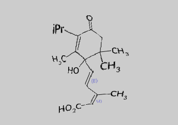 CC1=C(C(C)C)C(=O)CC(C)(C)C1(O)/C=C/C(C)=C\C(=O)O